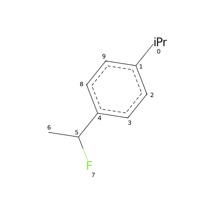 CC(C)c1ccc(C(C)F)cc1